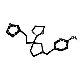 Cc1ccc(CN2CC[C@](CCc3ccsc3)([C@@H]3CCCO3)C2)cn1